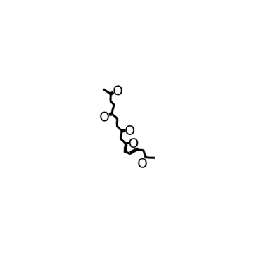 CC(=O)CCC(=O)CCC(=O)Cc1ccc(CC(C)=O)o1